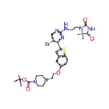 CC(C)(C)OC(=O)N1CCN(CCOc2ccc3sc(-c4nc(NCCN5C(=O)NC(=O)C5(C)C)ncc4Br)cc3c2)CC1